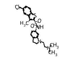 Cc1c(S(=O)(=O)Nc2ccc3c(c2)N(CCN(C)C)CC3)sc2ccc(Cl)cc12